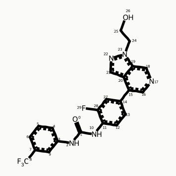 O=C(Nc1cccc(C(F)(F)F)c1)Nc1ccc(-c2cncc3c2cnn3CCO)cc1F